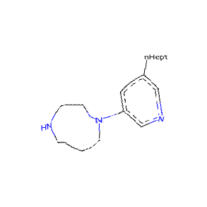 CCCCCCCc1cncc(N2CCCNCC2)c1